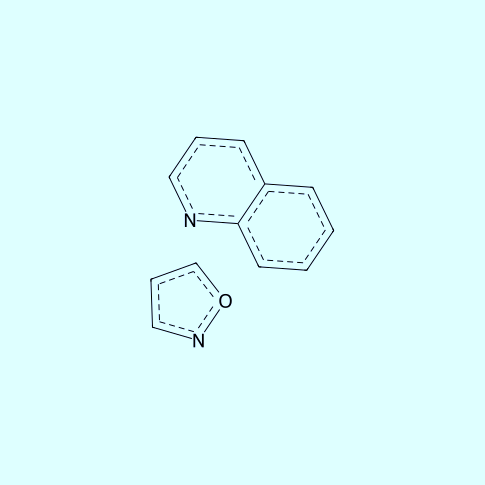 c1ccc2ncccc2c1.c1cnoc1